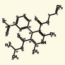 C=CCOC(=O)C1=C(C)NC(C)=C(C(=O)OC(C)C)C1c1cccc([N+](=O)[O-])c1